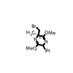 COC1=N[C@@](C)(CBr)C(OC)=NC1C(C)C